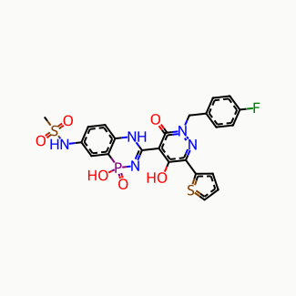 CS(=O)(=O)Nc1ccc2c(c1)P(=O)(O)N=C(c1c(O)c(-c3cccs3)nn(Cc3ccc(F)cc3)c1=O)N2